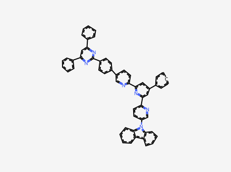 c1ccc(-c2cc(-c3ccc(-c4ccc(-c5nc(-c6ccccc6)cc(-c6ccccc6)n5)cc4)cn3)nc(-c3ccc(-n4c5ccccc5c5ccccc54)cn3)c2)cc1